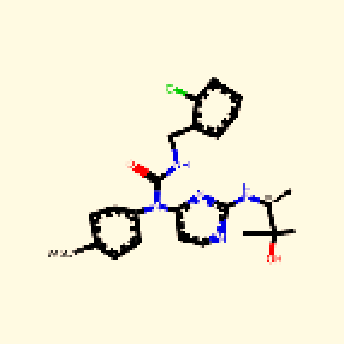 COc1ccc(N(C(=O)NCc2ccccc2Cl)c2ccnc(N[C@@H](C)C(C)(C)O)n2)cc1